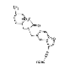 CCCCCCCCCCC#Cc1coc2ccc(CN(Cc3ccc(C(F)(F)F)cc3)C(=O)C(=O)O)cc12